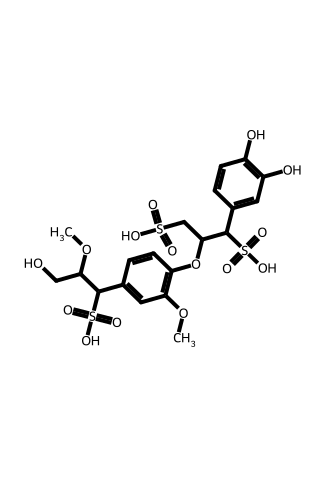 COc1cc(C(C(CO)OC)S(=O)(=O)O)ccc1OC(CS(=O)(=O)O)C(c1ccc(O)c(O)c1)S(=O)(=O)O